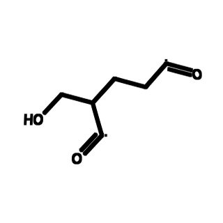 O=[C]CCC([C]=O)CO